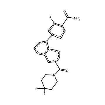 NC(=O)c1ccc(-c2cccc3cc(C(=O)N4CCC(F)(F)CC4)ccc23)cc1F